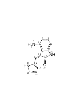 Nc1cccc2c1C(=Cc1ccc[nH]1)C(=O)N2